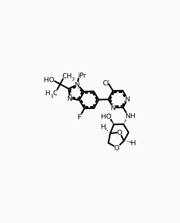 CC(C)n1c(C(C)(C)O)nc2c(F)cc(-c3nc(N[C@@H]4C[C@H]5OC[C@H](O5)[C@H]4O)ncc3Cl)cc21